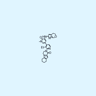 CCc1c(-c2cc(Nc3cc4n(n3)COCC4)c(=O)n(C)c2)ccnc1N1CCn2c(cc3c2CCCC3)C1=O